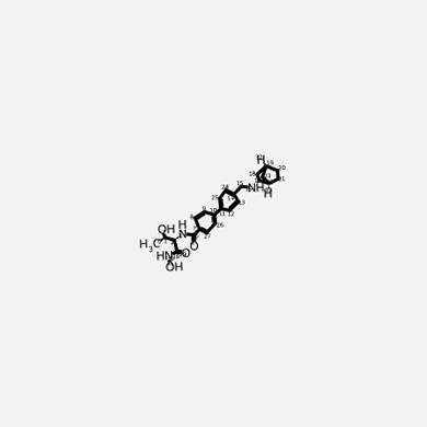 C[C@@H](O)[C@H](NC(=O)c1ccc(-c2ccc(CN[C@@H]3C[C@@H]4CC[C@@H]3C4)cc2)cc1)C(=O)NO